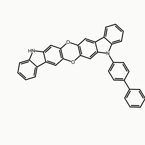 c1ccc(-c2ccc(-n3c4ccccc4c4cc5c(cc43)Oc3cc4c(cc3O5)[nH]c3ccccc34)cc2)cc1